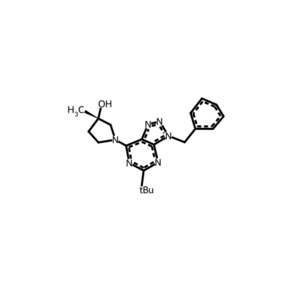 CC(C)(C)c1nc(N2CC[C@](C)(O)C2)c2nnn(Cc3ccccc3)c2n1